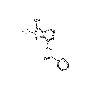 Cn1nc2c(SCC(=O)c3ccccc3)ncnc2c1O